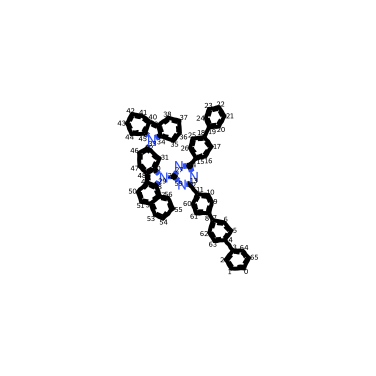 c1ccc(-c2ccc(-c3ccc(-c4nc(-c5ccc(-c6ccccc6)cc5)nc(-n5c6cc(-n7c8ccccc8c8ccccc87)ccc6c6ccc7ccccc7c65)n4)cc3)cc2)cc1